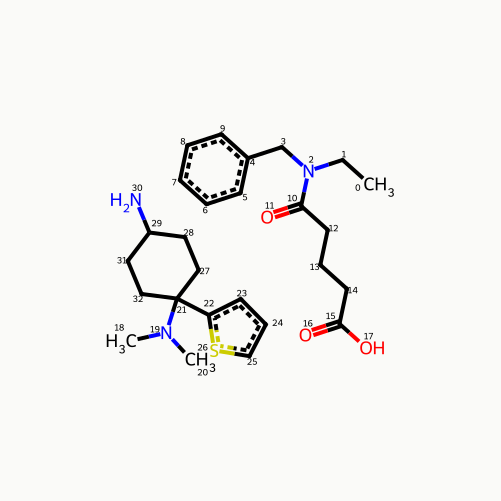 CCN(Cc1ccccc1)C(=O)CCCC(=O)O.CN(C)C1(c2cccs2)CCC(N)CC1